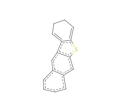 C1=c2sc3cc4ccccc4cc3c2=CCC1